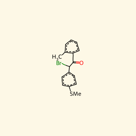 CSc1ccc(C(Br)C(=O)c2ccccc2C)cc1